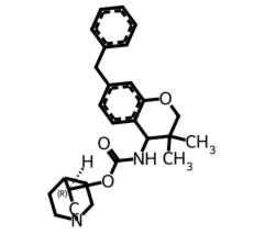 CC1(C)COc2cc(Cc3ccccc3)ccc2C1NC(=O)O[C@H]1CN2CCC1CC2